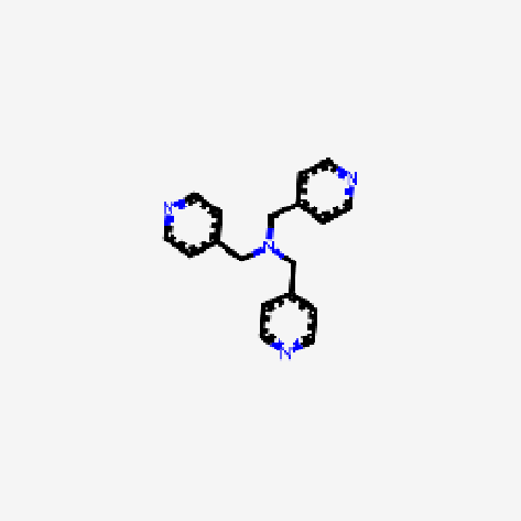 c1cc(CN(Cc2ccncc2)Cc2ccncc2)ccn1